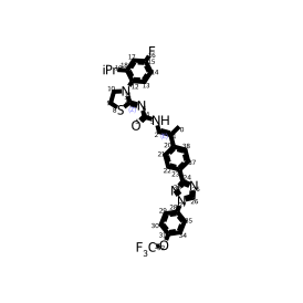 C/C(=C\NC(=O)/N=C1\SCCN1c1ccc(F)cc1C(C)C)c1ccc(-c2ncn(-c3ccc(OC(F)(F)F)cc3)n2)cc1